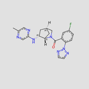 Cc1cnc(N[C@@H]2C[C@@H]3C[C@@H]2N(C(=O)c2cc(F)ccc2-n2nccn2)C3)cn1